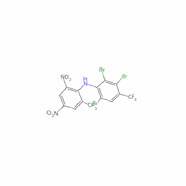 O=[N+]([O-])c1cc([N+](=O)[O-])c(Nc2c(Br)cc(C(F)(F)F)c(Br)c2Br)c(C(F)(F)F)c1